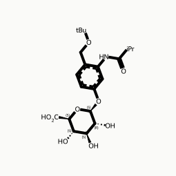 CC(C)C(=O)Nc1cc(O[C@@H]2O[C@H](C(=O)O)[C@@H](O)[C@H](O)[C@H]2O)ccc1COC(C)(C)C